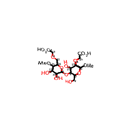 COC1OC(CO)C(OC2OC(COCC(=O)O)C(OC)C(O)C2O)C(O)C1OCC(=O)O